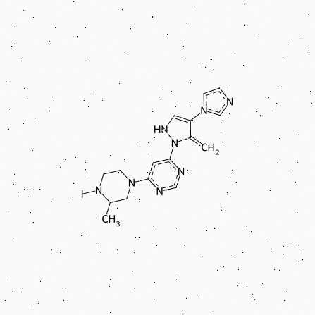 C=C1C(n2ccnc2)=CNN1c1cc(N2CCN(I)C(C)C2)ncn1